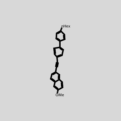 CCCCCCc1ccc(-c2ccc(C#Cc3ccc4cc(OC)ccc4c3)cc2)cc1